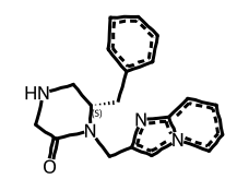 O=C1CNC[C@H](Cc2ccccc2)N1Cc1cn2ccccc2n1